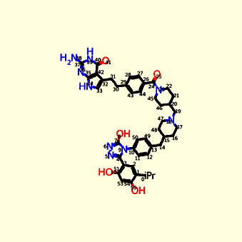 CC(C)c1cc(-c2nnc(O)n2-c2ccc(CC3CCN(CC4CCN(C(=O)c5ccc(CCc6c[nH]c7nc(N)[nH]c(=O)c67)cc5)CC4)CC3)cc2)c(O)cc1O